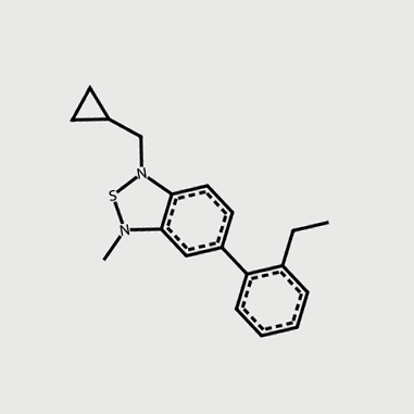 CCc1ccccc1-c1ccc2c(c1)N(C)SN2CC1CC1